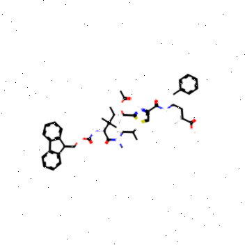 CCC(C)(C)[C@H](NC(=O)OCC1c2ccccc2-c2ccccc21)C(=O)N(C)[C@H](C[C@@H](OC(C)=O)c1nc(C(=O)N[C@H](Cc2ccccc2)C[C@H](C)C(=O)O)cs1)C(C)C